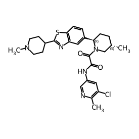 Cc1ncc(NC(=O)C(=O)N2C[C@@H](C)CC[C@@H]2c2ccc3sc(C4CCN(C)CC4)nc3c2)cc1Cl